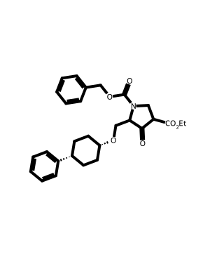 CCOC(=O)C1CN(C(=O)OCc2ccccc2)C(CO[C@H]2CC[C@@H](c3ccccc3)CC2)C1=O